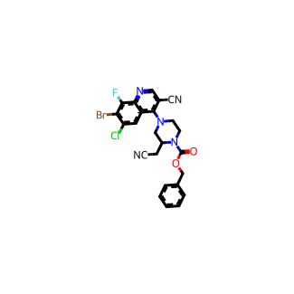 N#CCC1CN(c2c(C#N)cnc3c(F)c(Br)c(Cl)cc23)CCN1C(=O)OCc1ccccc1